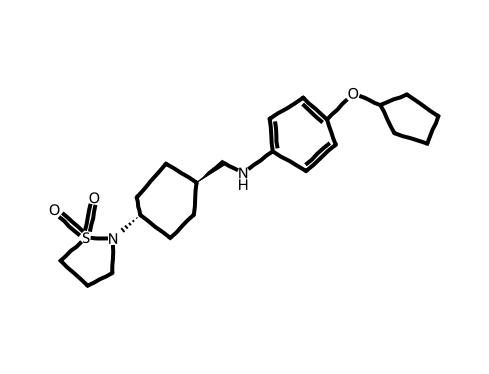 O=S1(=O)CCCN1[C@H]1CC[C@H](CNc2ccc(OC3CCCC3)cc2)CC1